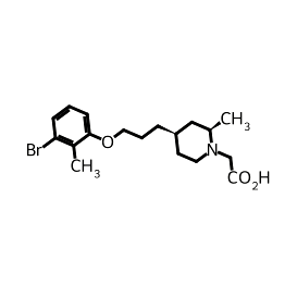 Cc1c(Br)cccc1OCCC[C@@H]1CCN(CC(=O)O)[C@H](C)C1